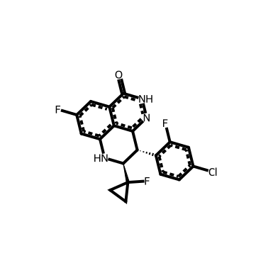 O=c1[nH]nc2c3c(cc(F)cc13)N[C@H](C1(F)CC1)[C@H]2c1ccc(Cl)cc1F